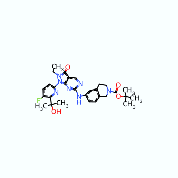 CCn1c(=O)c2cnc(Nc3ccc4c(c3)CCN(C(=O)OC(C)(C)C)C4)nc2n1-c1ccc(F)c(C(C)(C)O)n1